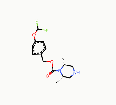 C[C@@H]1CNC[C@H](C)N1C(=O)OCc1ccc(OC(F)F)cc1